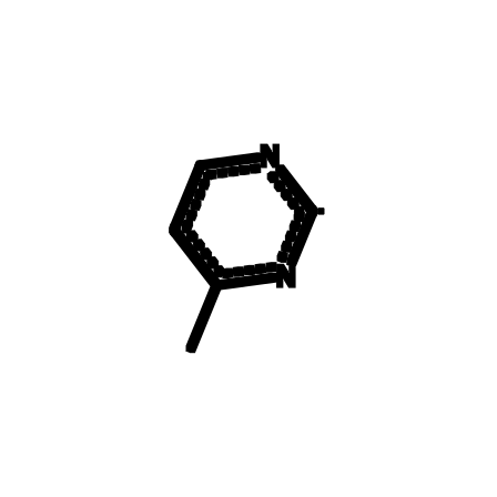 Cc1ccn[c]n1